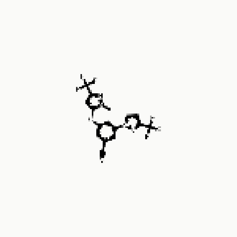 Cn1nc(C(F)(F)F)cc1Oc1cc(C#N)cc(-n2ccc(C(F)(F)F)n2)c1